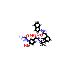 CC(C)(Cc1cccc(CC(=O)N[C@H]2c3ccccc3C[C@H]2O)c1)NC[C@@H](O)c1ccc(O)c(NC(N)=O)c1